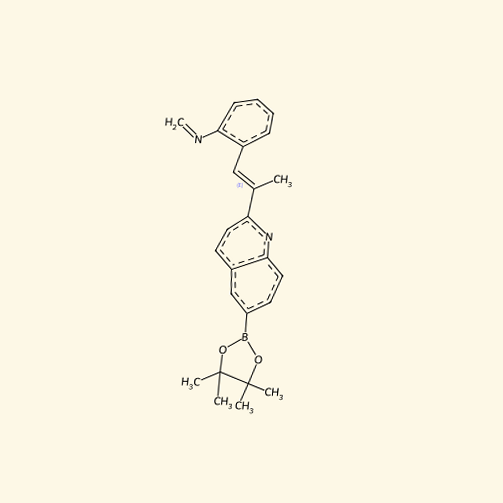 C=Nc1ccccc1/C=C(\C)c1ccc2cc(B3OC(C)(C)C(C)(C)O3)ccc2n1